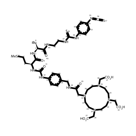 CC[C@H](C)[C@H](NC(=O)[C@H](CCSC)NC(=O)Nc1ccc(CNC(=O)CN2CCN(CC(=O)O)CCN(CC(=O)O)CCN(CC(=O)O)CC2)cc1)C(=O)NCCNC(=S)Nc1ccc(N=C=S)cc1